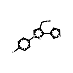 OCc1cn(-c2ccc(Cl)cc2)nc1-c1ccoc1